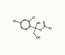 C=C(CC)OC(CO)(CCC)c1ccc(Cl)cc1Cl